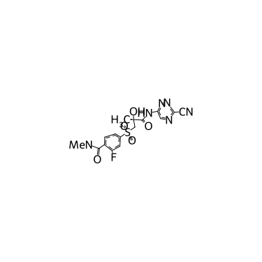 CNC(=O)c1ccc(S(=O)(=O)C[C@](C)(O)C(=O)Nc2cnc(C#N)nn2)cc1F